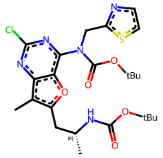 Cc1c(C[C@@H](C)NC(=O)OC(C)(C)C)oc2c(N(Cc3nccs3)C(=O)OC(C)(C)C)nc(Cl)nc12